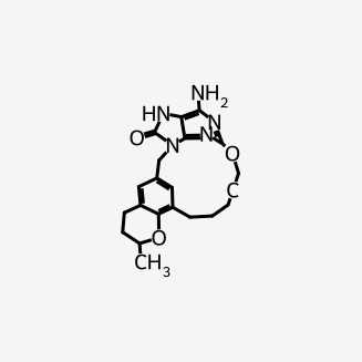 CC1CCc2cc3cc(c2O1)CCCCCOc1nc(N)c2[nH]c(=O)n(c2n1)C3